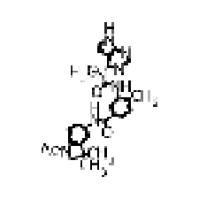 CC(=O)N1CC(C)(C)c2cc(NC(=O)c3ccc(C)c(NC(=O)N(C)c4ncnc5[nH]ccc45)c3)ccc21